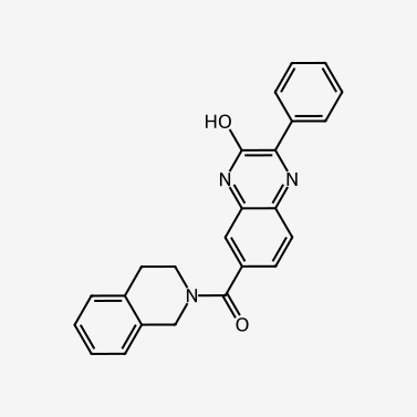 O=C(c1ccc2nc(-c3ccccc3)c(O)nc2c1)N1CCc2ccccc2C1